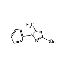 CC(C)(C)c1cc(C(F)(F)F)n(-c2ccccc2)n1